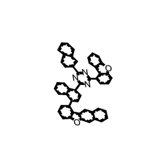 c1ccc2cc(-c3nc(-c4ccc(-c5cccc6oc7cc8ccccc8cc7c56)c5ccccc45)nc(-c4cccc5oc6ccccc6c45)n3)ccc2c1